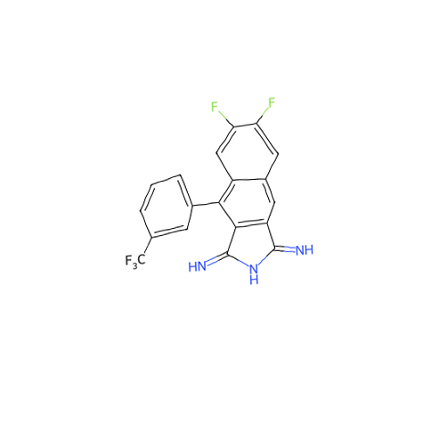 N=C1NC(=N)c2c1cc1cc(F)c(F)cc1c2-c1cccc(C(F)(F)F)c1